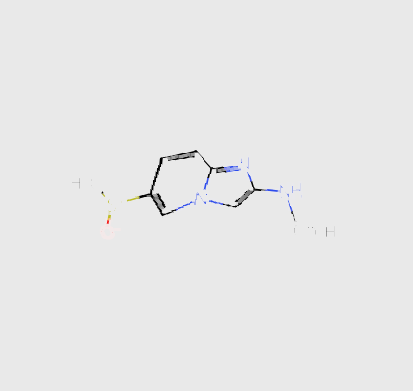 C[S+]([O-])c1ccc2nc(NC(=O)O)cn2c1